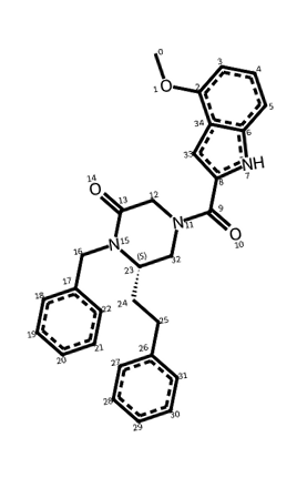 COc1cccc2[nH]c(C(=O)N3CC(=O)N(Cc4ccccc4)[C@@H](CCc4ccccc4)C3)cc12